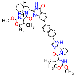 COC(=O)N[C@H](C(=O)N1CCC[C@H]1c1ncc(-c2ccc3cc(-c4ccc5c(=O)[nH]c([C@@H]6C[C@@H]7CCCC[C@@H]7N6C(=O)[C@@H](NC(=O)OC)C(C)C)nc5c4)ccc3c2)[nH]1)C(C)C